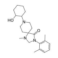 Cc1cccc(C)c1N1CN(C)C2(CCN(C3CCCCC3O)CC2)C1=O